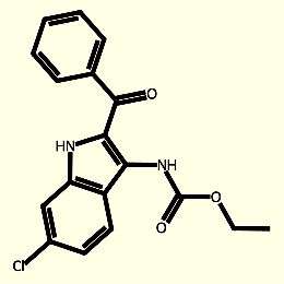 CCOC(=O)Nc1c(C(=O)c2ccccc2)[nH]c2cc(Cl)ccc12